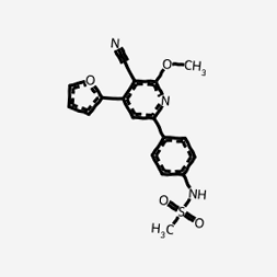 COc1nc(-c2ccc(NS(C)(=O)=O)cc2)cc(-c2ccco2)c1C#N